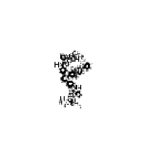 CC(C)(C)OC(=O)N1CCC[C@H]1C(=O)Nc1ccc([C@@H]2CC[C@@H](c3ccc(NC(=O)[C@@H]4CCCN4C(=O)OC(C)(C)C)cc3)N2c2cc(F)c(N3CCC(c4ccccc4)CC3)c(F)c2)cc1